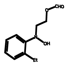 CCc1ccccc1N(O)CCOC=O